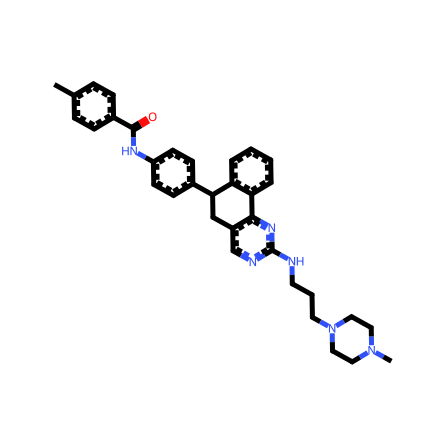 Cc1ccc(C(=O)Nc2ccc(C3Cc4cnc(NCCCN5CCN(C)CC5)nc4-c4ccccc43)cc2)cc1